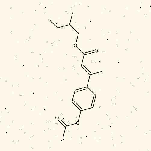 CCC(C)COC(=O)C=C(C)c1ccc(OC(C)=O)cc1